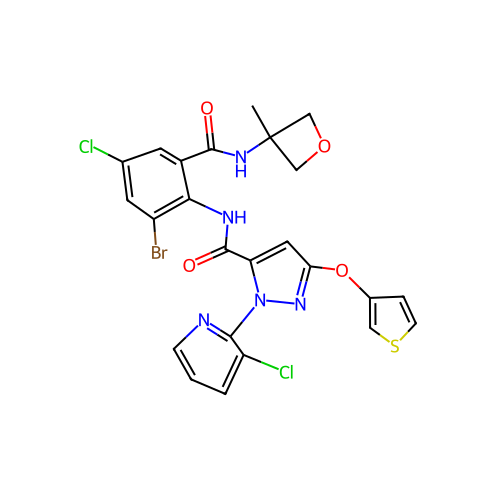 CC1(NC(=O)c2cc(Cl)cc(Br)c2NC(=O)c2cc(Oc3ccsc3)nn2-c2ncccc2Cl)COC1